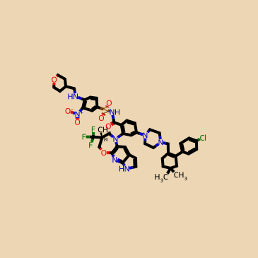 CC1(C)CCC(CN2CCN(c3ccc(C(=O)NS(=O)(=O)c4ccc(NCC5CCOCC5)c([N+](=O)[O-])c4)c(N4C[C@@](C)(C(F)(F)F)COc5nc6[nH]ccc6cc54)c3)CC2)=C(c2ccc(Cl)cc2)C1